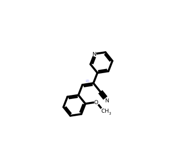 COc1ccccc1/C=C(\C#N)c1cccnc1